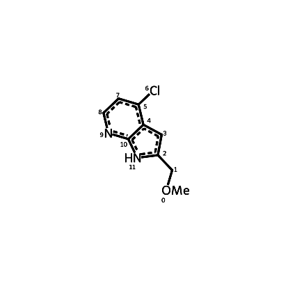 COCc1cc2c(Cl)ccnc2[nH]1